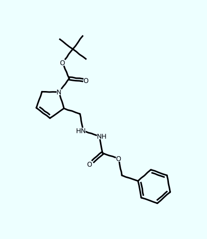 CC(C)(C)OC(=O)N1CC=CC1CNNC(=O)OCc1ccccc1